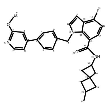 CCOc1cc(-c2ccc(Cn3ccc4c(F)ccc(C(=O)NC5CC6(CC(C)C6)C5)c43)cc2)ccn1